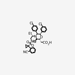 CC[C@@H](CNS(=O)(=O)C1(c2ccccc2C#N)CC1)N1C(=O)[C@@H](CC(=O)O)O[C@H](c2cccc(Cl)c2)C1c1ccc(Cl)cc1